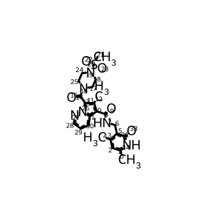 Cc1cc(C)c(CNC(=O)c2c(C)c(C(=O)N3CCN(S(C)(=O)=O)CC3)n3ncccc23)c(=O)[nH]1